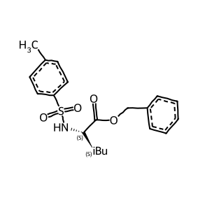 CC[C@H](C)[C@H](NS(=O)(=O)c1ccc(C)cc1)C(=O)OCc1ccccc1